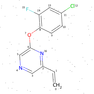 C=Cc1cncc(Oc2ccc(Cl)cc2F)n1